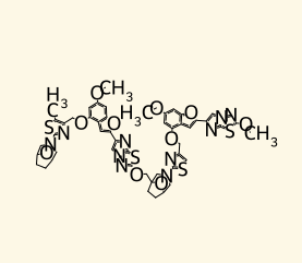 COc1cc(OCc2csc(N3CC4CCC(COc5nn6cc(-c7cc8c(OCc9nc(N%10CC%11CCC(C%10)O%11)sc9C)cc(OC)cc8o7)nc6s5)(C3)O4)n2)c2cc(-c3cn4nc(OC)sc4n3)oc2c1